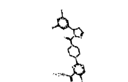 CN(O)C(=O)c1nc(N2CCN(C(=O)N3N=CCC3c3cc(F)cc(F)c3)CC2)ncc1F